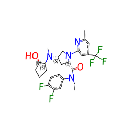 CCN(C(=O)[C@@H]1C[C@H](N(C)[C@H]2CCC[C@H]2O)CN1c1cc(C(F)(F)F)cc(C)n1)c1ccc(F)c(F)c1